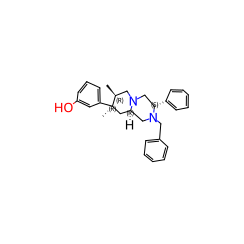 C[C@H]1CN2C[C@H](c3ccccc3)N(Cc3ccccc3)C[C@H]2C[C@@]1(C)c1cccc(O)c1